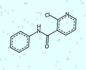 O=C(Nc1cc[c]cc1)c1cccnc1Cl